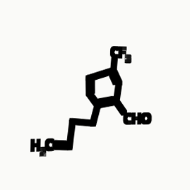 C=CCCc1ccc(C(F)(F)F)cc1C=O